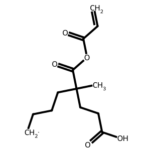 [CH2]CCCC(C)(CCC(=O)O)C(=O)OC(=O)C=C